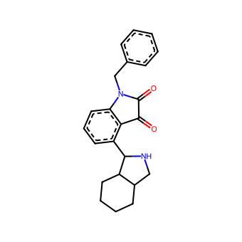 O=C1C(=O)N(Cc2ccccc2)c2cccc(C3NCC4CCCCC43)c21